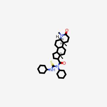 CN1C(=O)CC[C@]2(C)C3CC[C@]4(C)C(C(=O)N(C(=S)NC5CCCCC5)C5CCCCC5)CCC4C3CC[C@@H]12